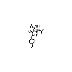 CCC1CCC(SNC(=O)N(C(=N)OC)C(=O)NC(C)C)CC1